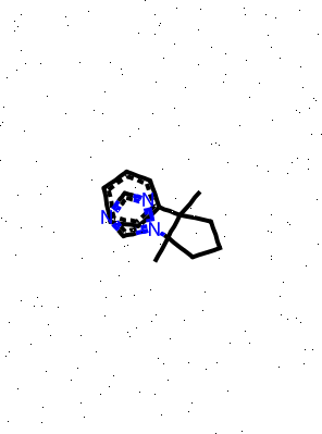 CC1(c2ccccc2)CCCC1(C)n1cncn1